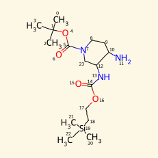 CC(C)(C)OC(=O)N1CCC(N)C(NC(=O)OCC[Si](C)(C)C)C1